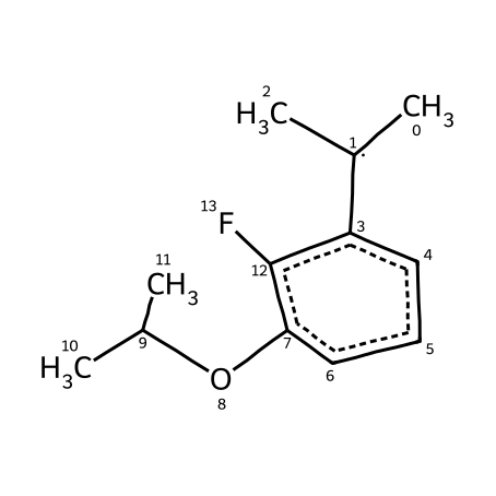 C[C](C)c1cccc(OC(C)C)c1F